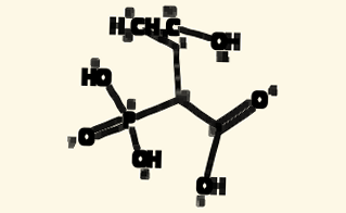 CCC(C(=O)O)P(=O)(O)O.CO